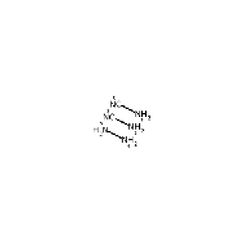 N#CN.N#CN.NN